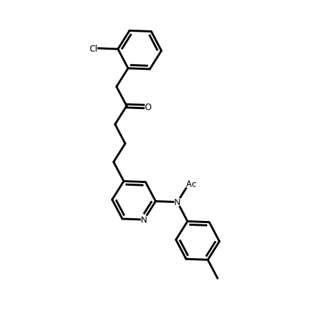 CC(=O)N(c1ccc(C)cc1)c1cc(CCCC(=O)Cc2ccccc2Cl)ccn1